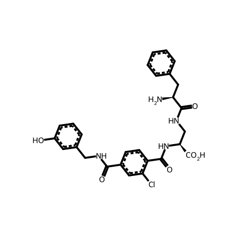 N[C@@H](Cc1ccccc1)C(=O)NC[C@H](NC(=O)c1ccc(C(=O)NCc2cccc(O)c2)cc1Cl)C(=O)O